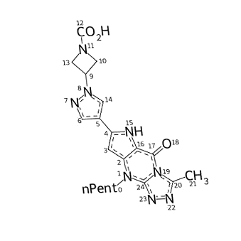 CCCCCn1c2cc(-c3cnn(C4CN(C(=O)O)C4)c3)[nH]c2c(=O)n2c(C)nnc12